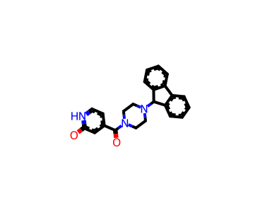 O=C(c1cc[nH]c(=O)c1)N1CCN(C2c3ccccc3-c3ccccc32)CC1